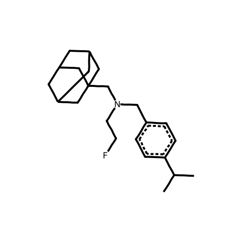 CC(C)c1ccc(CN(CCF)CC23CC4CC(CC(C4)C2)C3)cc1